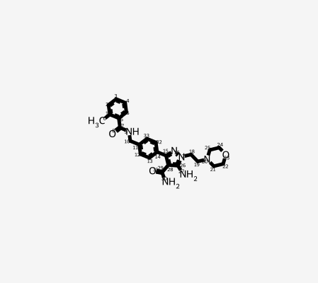 Cc1ccccc1C(=O)NCc1ccc(-c2nn(CCN3CCOCC3)c(N)c2C(N)=O)cc1